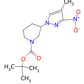 Cc1cn(C2CCCN(C(=O)OC(C)(C)C)C2)nc1[N+](=O)[O-]